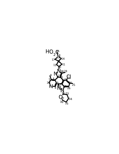 Cc1cnccc1-c1nn(C2CC3(C2)CN(C(=O)O)C3)c(C)c1-c1c(Cl)c(C)cc2c1cnn2C1CCCCO1